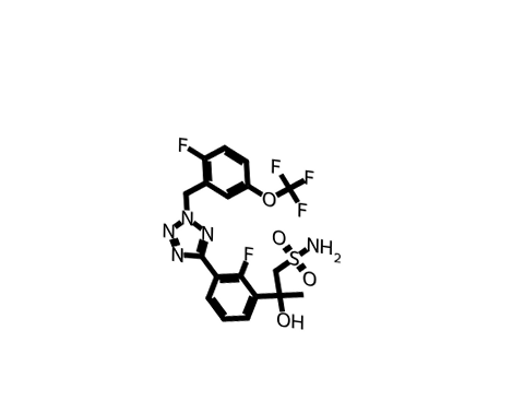 CC(O)(CS(N)(=O)=O)c1cccc(-c2nnn(Cc3cc(OC(F)(F)F)ccc3F)n2)c1F